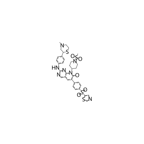 CN1CCSC(c2ccc(Nc3ncc4cc(-c5ccc(S(=O)(=O)c6cncs6)cc5)c(=O)n(C5CCN(S(C)(=O)=O)CC5)c4n3)cc2)C1